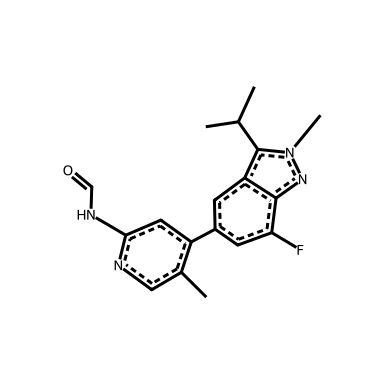 Cc1cnc(NC=O)cc1-c1cc(F)c2nn(C)c(C(C)C)c2c1